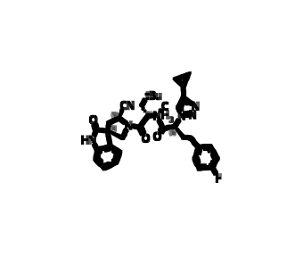 CN(C(=O)[C@H](CCc1ccc(F)cc1)n1cc(C2CC2)nn1)[C@@H](CC(C)(C)C)C(=O)N1C[C@]2(C[C@H]1C#N)C(=O)Nc1ccccc12